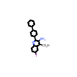 Nc1c(-c2ccc(-c3ccccc3)cc2)nc2ccc(I)cc2c1C(=O)O